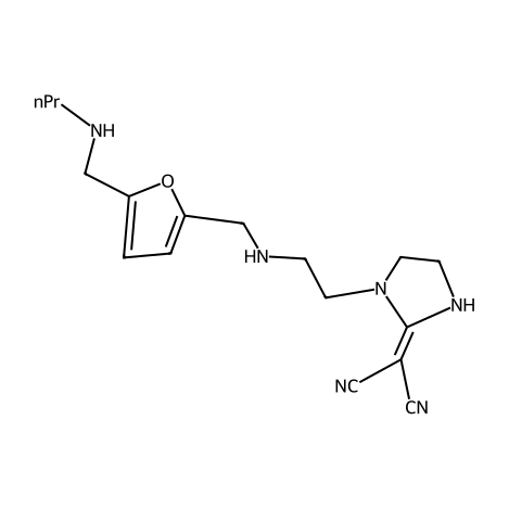 CCCNCc1ccc(CNCCN2CCNC2=C(C#N)C#N)o1